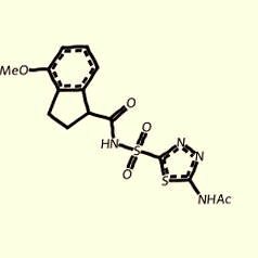 COc1cccc2c1CCC2C(=O)NS(=O)(=O)c1nnc(NC(C)=O)s1